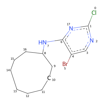 Clc1ncc(Br)c(NC2CCCCCCCC2)n1